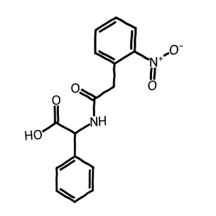 O=C(Cc1ccccc1[N+](=O)[O-])NC(C(=O)O)c1ccccc1